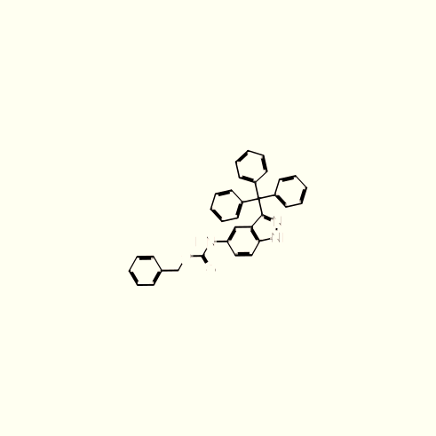 O=C(Nc1ccc2[nH]nc(C(c3ccccc3)(c3ccccc3)c3ccccc3)c2c1)OCc1ccccc1